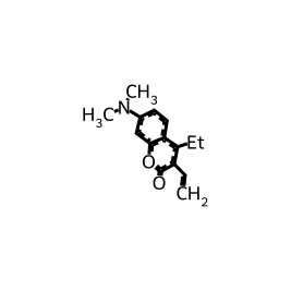 C=Cc1c(CC)c2ccc(N(C)C)cc2oc1=O